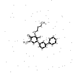 CCCCOc1c(F)c(-c2cccc(-c3ccccc3)c2)cn(C)c1=O